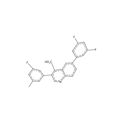 Cc1cc(F)cc(-c2cnc3ccc(-c4cc(F)cc(F)c4)cc3c2C(=O)O)c1